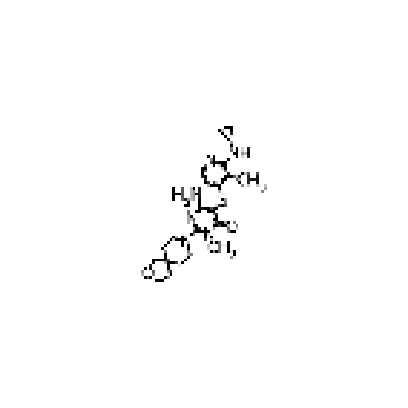 Cc1c(Sc2c(N)nc(N3CCC4(CCOC4)CC3)n(C)c2=O)ccnc1NC1CC1